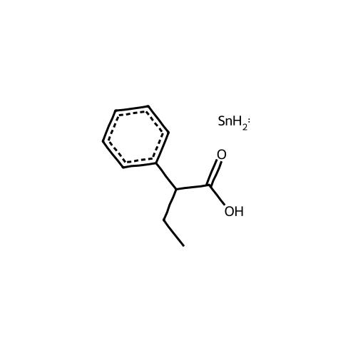 CCC(C(=O)O)c1ccccc1.[SnH2]